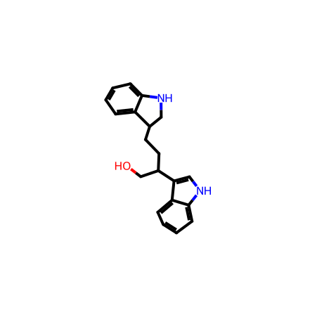 OCC(CCC1CNc2ccccc21)c1c[nH]c2ccccc12